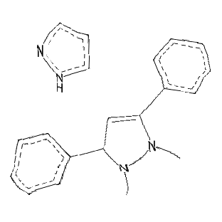 CN1C(c2ccccc2)=CC(c2ccccc2)N1C.c1cn[nH]c1